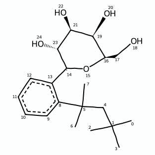 CC(C)(C)CC(C)(C)c1ccccc1[C]1O[C@H](CO)[C@H](O)[C@H](O)[C@H]1O